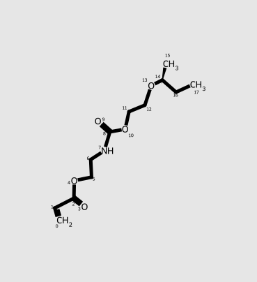 C=CC(=O)OCCNC(=O)OCCO[C@@H](C)CC